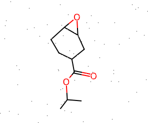 CC(C)OC(=O)C1CCC2OC2C1